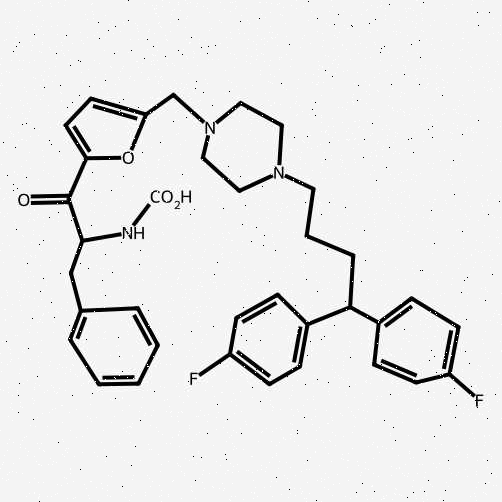 O=C(O)NC(Cc1ccccc1)C(=O)c1ccc(CN2CCN(CCCC(c3ccc(F)cc3)c3ccc(F)cc3)CC2)o1